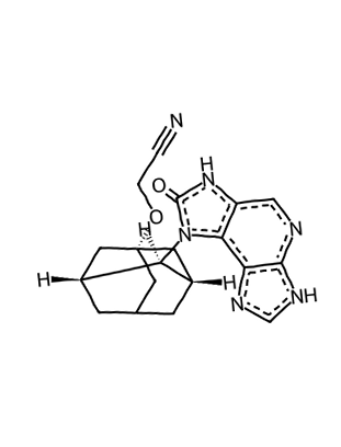 N#CCO[C@]12CC3C[C@H](C1)[C@@H](n1c(=O)[nH]c4cnc5[nH]cnc5c41)[C@@H](C3)C2